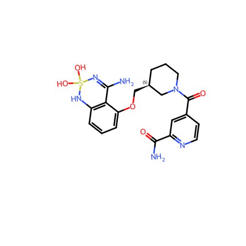 NC(=O)c1cc(C(=O)N2CCC[C@H](COc3cccc4c3C(N)=NS(O)(O)N4)C2)ccn1